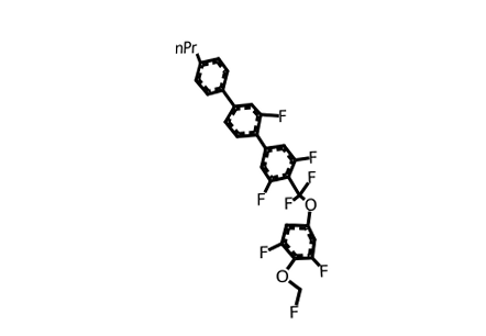 CCCc1ccc(-c2ccc(-c3cc(F)c(C(F)(F)Oc4cc(F)c(OCF)c(F)c4)c(F)c3)c(F)c2)cc1